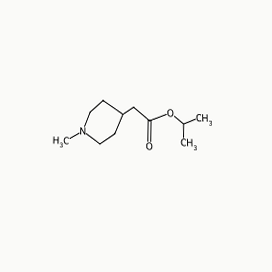 CC(C)OC(=O)CC1CCN(C)CC1